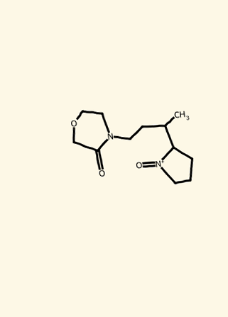 CC(CCN1CCOCC1=O)C1CCC[N+]1=O